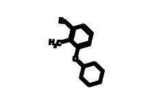 Cc1c(Br)cccc1OC1CCCCC1